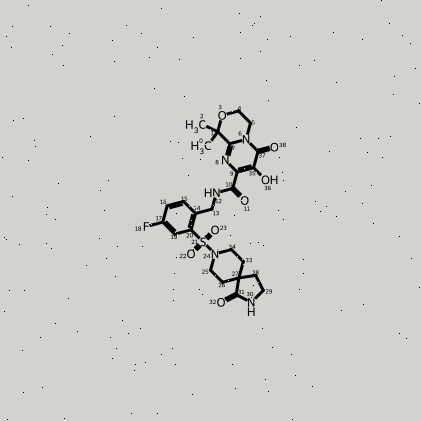 CC1(C)OCCn2c1nc(C(=O)NCc1ccc(F)cc1S(=O)(=O)N1CCC3(CCNC3=O)CC1)c(O)c2=O